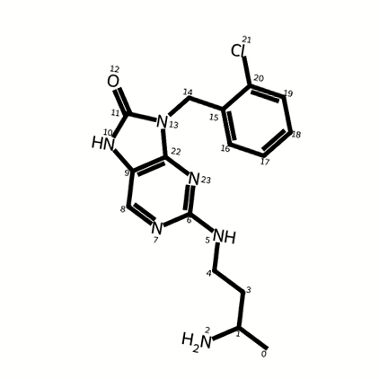 CC(N)CCNc1ncc2[nH]c(=O)n(Cc3ccccc3Cl)c2n1